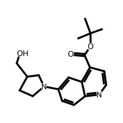 CC(C)(C)OC(=O)c1ccnc2ccc(N3CCC(CO)C3)cc12